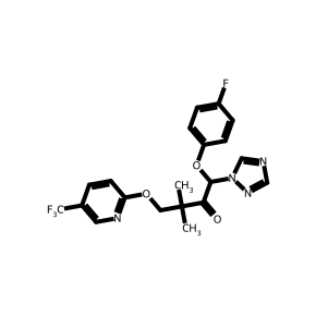 CC(C)(COc1ccc(C(F)(F)F)cn1)C(=O)C(Oc1ccc(F)cc1)n1cncn1